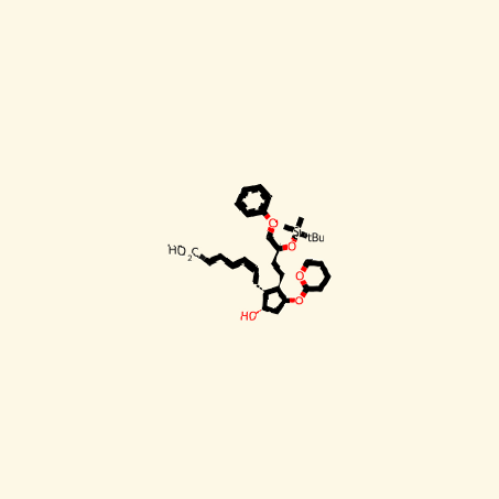 CC(C)(C)[Si](C)(C)O[C@@H](CC[C@H]1C(OC2CCCCO2)C[C@H](O)[C@@H]1C/C=C\CCCC(=O)O)COc1ccccc1